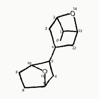 CC1C2CC(C3CC4CCC3O4)CC1O2